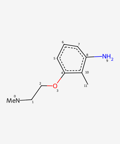 CNCCOc1cccc(N)c1C